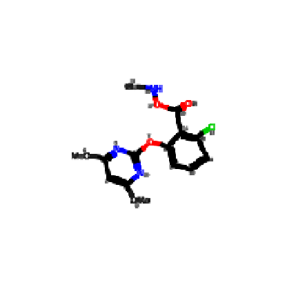 COc1cc(OC)nc(Oc2cccc(Cl)c2C(=O)ONC(C)(C)C)n1